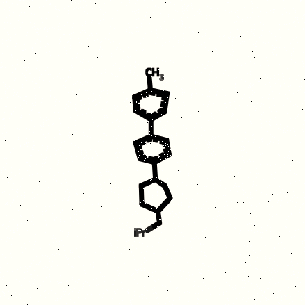 Cc1ccc(-c2ccc(C3CCC(CC(C)C)CC3)cc2)cc1